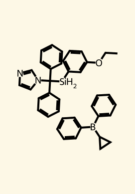 CCOc1cccc([SiH2]C(c2ccccc2)(c2ccccc2)n2ccnc2)c1.c1ccc(B(c2ccccc2)C2CC2)cc1